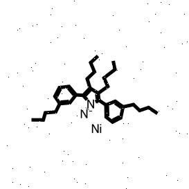 CCCCC1=C(c2cccc(CCCC)c2)[N+](=[N-])C(c2cccc(CCCC)c2)=C1CCCC.[Ni]